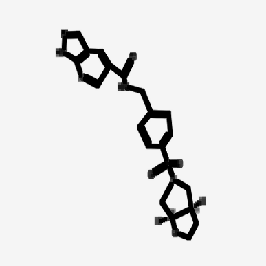 O=C(NCc1ccc(S(=O)(=O)N2C[C@H]3CCO[C@H]3C2)cc1)c1cnc2[nH]ncc2c1